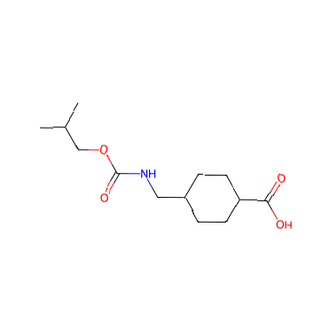 CC(C)COC(=O)NCC1CCC(C(=O)O)CC1